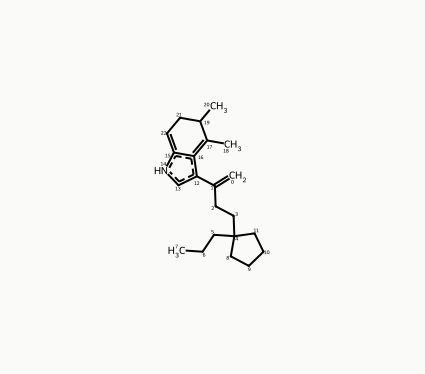 C=C(CCC1(CCC)CCCC1)c1c[nH]c2c1=C(C)C(C)CC=2